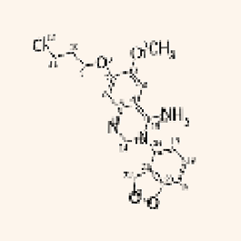 COc1cc2c(cc1OCCCCl)=NCN(c1cccc3c1COO3)C=2N